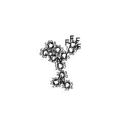 Fc1c(F)c(F)c2cc(-c3ccc(N(c4ccc(-c5ccc6c(c5)c5ccccc5n6-c5ccccc5)cc4)c4ccc5c(c4)C(c4ccccc4)(c4ccccc4)c4ccccc4-5)cc3)ccc2c1F